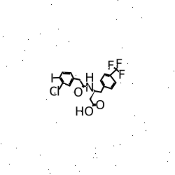 O=C(O)C[C@H](Cc1ccc(C(F)(F)F)cc1)NC(=O)Cc1ccc(I)c(Cl)c1